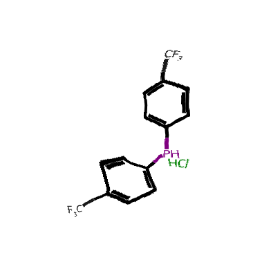 Cl.FC(F)(F)c1ccc(Pc2ccc(C(F)(F)F)cc2)cc1